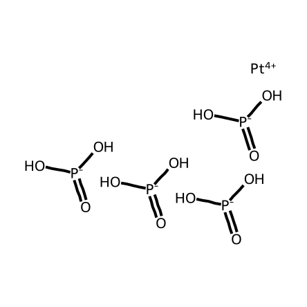 O=[P-](O)O.O=[P-](O)O.O=[P-](O)O.O=[P-](O)O.[Pt+4]